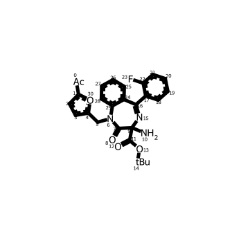 CC(=O)c1ccc(CN2C(=O)C(N)(C(=O)OC(C)(C)C)N=C(c3ccccc3F)c3ccccc32)o1